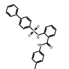 Cc1ccc(NC(=O)c2ccccc2NS(=O)(=O)c2ccc(-c3ccccc3)cc2)cc1